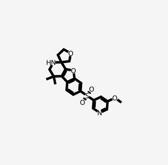 COc1cncc(S(=O)(=O)c2ccc3c4c(oc3c2)C2(CCOC2)NCC4(C)C)c1